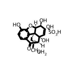 CN1CC[C@]23c4c5ccc(O)c4O[C@H]2[C@@H](O)C=C[C@@]3(O)[C@H]1C5=O.O.O=S(=O)(O)O